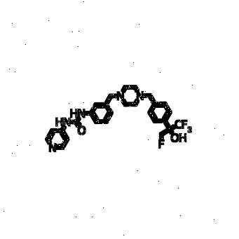 O=C(Nc1ccncc1)Nc1cccc(CN2CCN(Cc3ccc(C(O)(CF)C(F)(F)F)cc3)CC2)c1